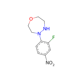 O=[N+]([O-])c1ccc(N2CCOCCN2)c(F)c1